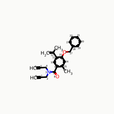 C#CCN(CC#C)C(=O)c1cc(C(=C)C)c(OCc2ccccc2)cc1C